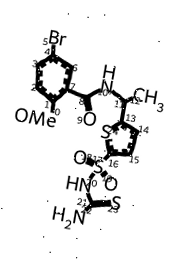 COc1ccc(Br)cc1C(=O)NC(C)c1ccc(S(=O)(=O)NC(N)=S)s1